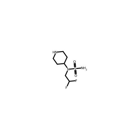 NS(=O)(=O)N(CC(F)F)C1CCNCC1